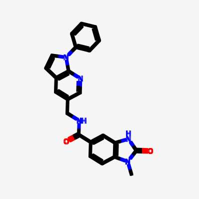 Cn1c(=O)[nH]c2cc(C(=O)NCc3cnc4c(ccn4-c4ccccc4)c3)ccc21